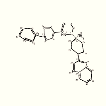 CC[C@H](NC(=O)c1ccc(-c2ccccc2)cc1)[C@]1(N)CC[C@H](c2cnc3ccccc3c2)CC1